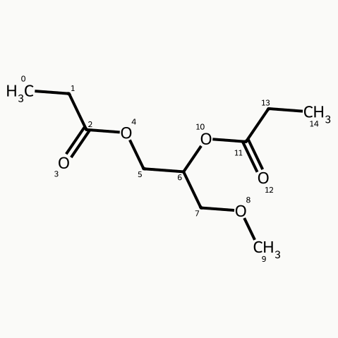 CCC(=O)OCC(COC)OC(=O)CC